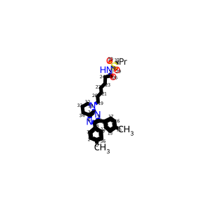 Cc1ccc(-c2nc3c(nc2-c2ccc(C)cc2)N(CCCCCCC(=O)NS(=O)(=O)C(C)C)CCC3)cc1